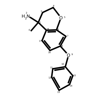 CC1(N)CCOc2cc(Oc3ccccc3)ccc21